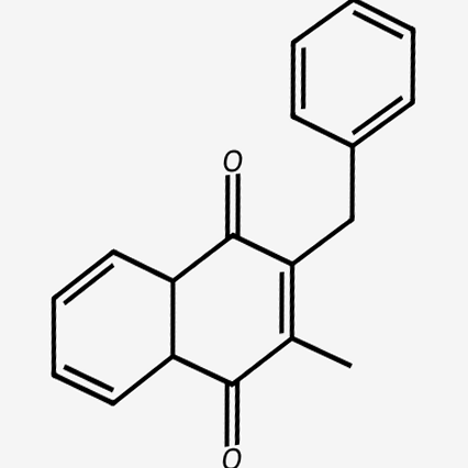 CC1=C(Cc2ccccc2)C(=O)C2C=CC=CC2C1=O